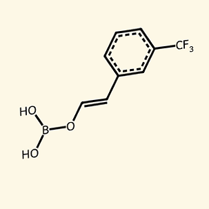 OB(O)O/C=C/c1cccc(C(F)(F)F)c1